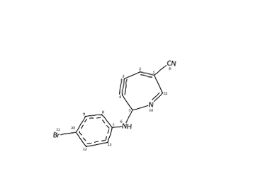 N#CC1=CC#CC(Nc2ccc(Br)cc2)N=C1